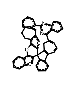 C1=CC2=C(CC(c3nc(-c4ccccc4)nc4ccccc34)=C1)C1(c3ccccc32)c2ccc3c(c2Oc2c1ccc1ccccc21)CCCC=C3